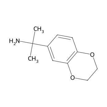 CC(C)(N)c1ccc2c(c1)OCCO2